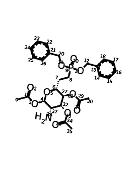 CC(=O)O[C@H]1O[C@H](CCP(=O)(OCc2ccccc2)OCc2ccccc2)[C@@H](OC(C)=O)[C@H](OC(C)=O)[C@@H]1N